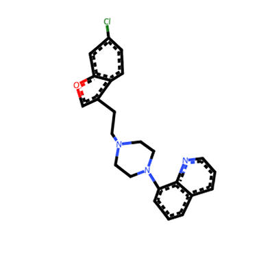 Clc1ccc2c(CCN3CCN(c4cccc5cccnc45)CC3)coc2c1